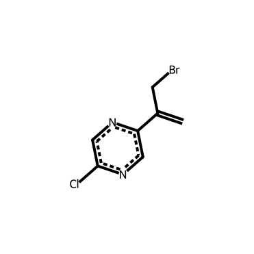 C=C(CBr)c1cnc(Cl)cn1